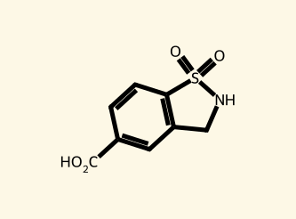 O=C(O)c1ccc2c(c1)CNS2(=O)=O